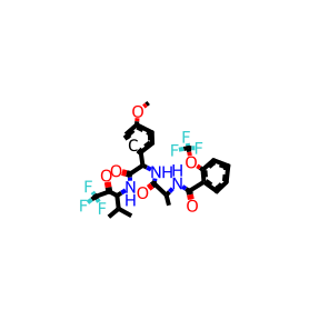 COc1ccc(C(NC(=O)C(C)NC(=O)c2ccccc2OC(F)(F)F)C(=O)NC(C(=O)C(F)(F)F)C(C)C)cc1